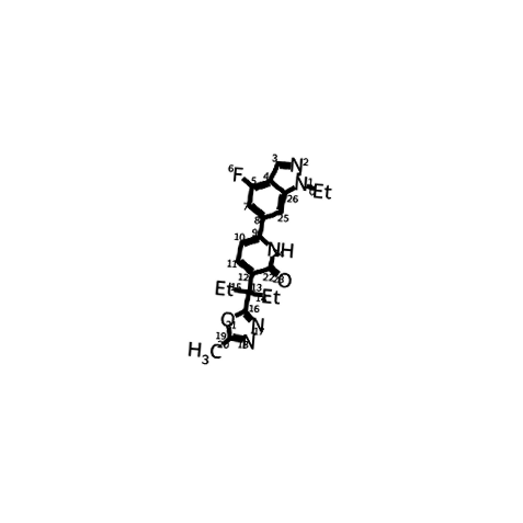 CCn1ncc2c(F)cc(-c3ccc(C(CC)(CC)c4nnc(C)o4)c(=O)[nH]3)cc21